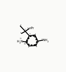 CCCC(C)(C)c1cc(N)ccc1N